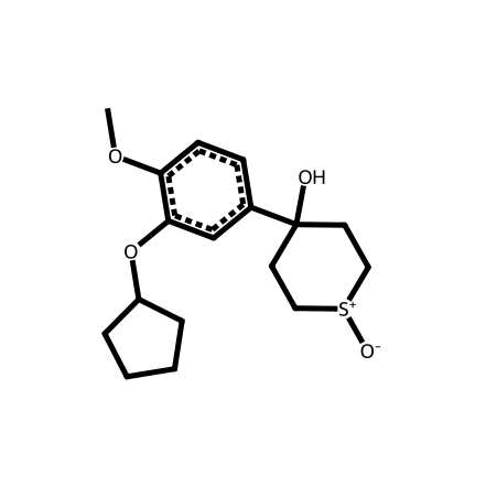 COc1ccc(C2(O)CC[S+]([O-])CC2)cc1OC1CCCC1